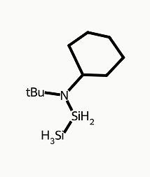 CC(C)(C)N([SiH2][SiH3])C1CCCCC1